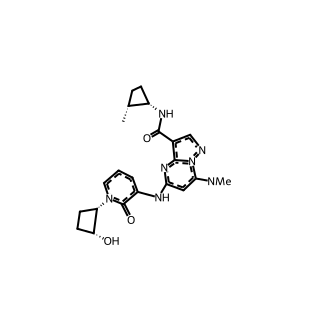 CNc1cc(Nc2cccn([C@H]3CC[C@H]3O)c2=O)nc2c(C(=O)N[C@H]3CC[C@H]3C)cnn12